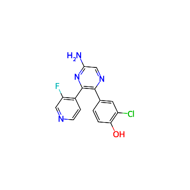 Nc1cnc(-c2ccc(O)c(Cl)c2)c(-c2ccncc2F)n1